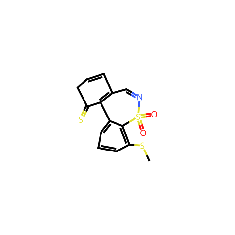 CSc1cccc2c1S(=O)(=O)N=CC1=C2C(=S)CC=C1